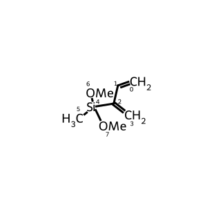 C=CC(=C)[Si](C)(OC)OC